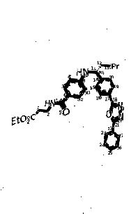 CCOC(=O)CCNC(=O)c1ccc(N[C@H](CC(C)C)c2ccc(-c3nnc(-c4ccccc4)o3)cc2)cc1